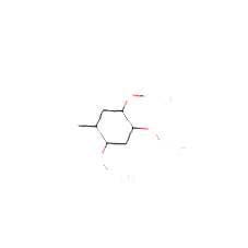 CC1CC(OC(=O)O)C(OC(=O)O)CC1OC(=O)O